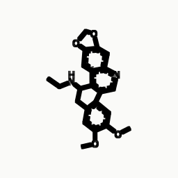 CCNC1Cc2cc(OC)c(OC)cc2-c2cnc3cc4c(cc3c21)OCO4